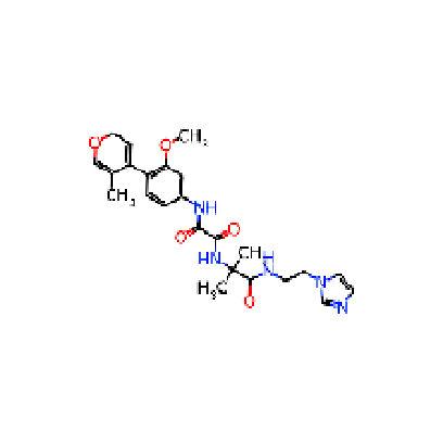 COc1cc(NC(=O)C(=O)NC(C)(C)C(=O)NCCn2ccnc2)ccc1C1=CCOC=C1C